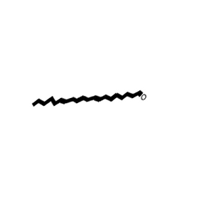 CCCCCC=CCC=CCC=CCC=CCCCC=O